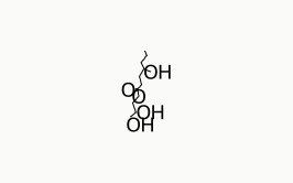 CCCC(O)CCC(=O)OCC(O)CO